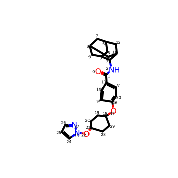 O=C(NC1C2CC3CC(C2)CC1C3)c1ccc(OC2CCC(On3cccn3)CC2)cc1